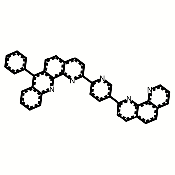 c1ccc(-c2c3ccccc3nc3c2ccc2ccc(-c4ccc(-c5ccc6ccc7cccnc7c6n5)cn4)nc23)cc1